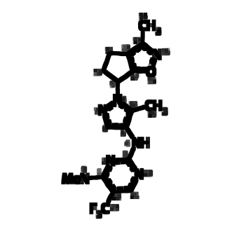 CNc1nc(Nc2cnn(C3CCc4c(C)noc43)c2C)ncc1C(F)(F)F